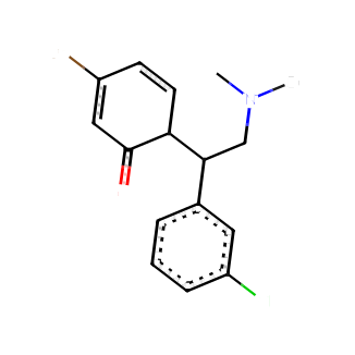 CCN(C)CC(c1cccc(Cl)c1)C1C=CC(Br)=CC1=O